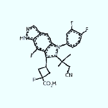 CC(C)(CC#N)c1c(C2CC(F)(C(=O)O)C2)c2c(F)c3[nH]ncc3cc2n1-c1ccc(F)c(F)c1